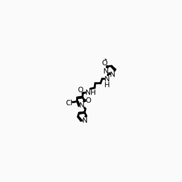 COc1ccnc(NCCCCCNC(=O)c2cc(Cl)cn(Cc3cccnc3)c2=O)n1